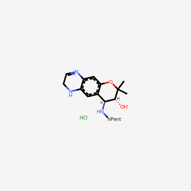 CCCCCN[C@H]1c2cc3c(cc2OC(C)(C)[C@@H]1O)N=CCN3.Cl